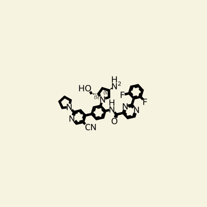 N#Cc1cnc(N2CCCC2)cc1-c1ccc(NC(=O)c2ccnc(-c3c(F)cccc3F)n2)c(N2C[C@@H](N)C[C@H]2CO)c1